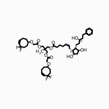 CC(COC(=O)CCC/C=C\C[C@@H]1[C@@H](CC[C@@H](O)CCc2ccccc2)[C@H](O)C[C@@H]1O)(COC(=O)COC1CCC#CC(F)(F)CC1)COC(=O)COC1CCC#CC(F)(F)CC1